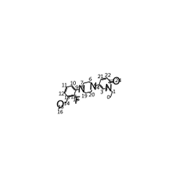 CCn1cc(N2CCN(c3cccc(COC)c3F)CC2)ccc1=O